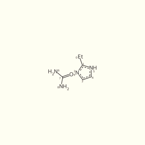 CCc1ncc[nH]1.NC(N)=O